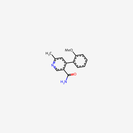 COc1ccccc1-c1cc(C)ncc1C(N)=O